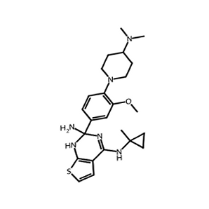 COc1cc(C2(N)N=C(NC3(C)CC3)c3ccsc3N2)ccc1N1CCC(N(C)C)CC1